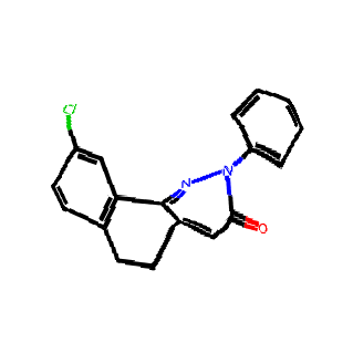 O=c1cc2c(nn1-c1ccccc1)-c1cc(Cl)ccc1CC2